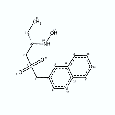 CC[C@@H](CS(=O)(=O)Cc1cnc2ccccc2c1)NO